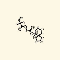 CCC(C)(C)C(=O)OCC(=O)OC1(C)CCCCC12CCCC2